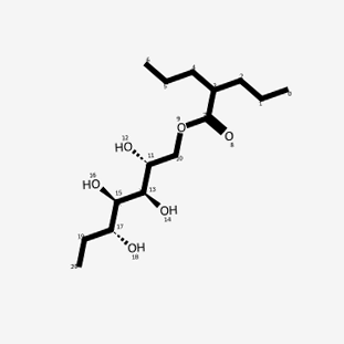 CCCC(CCC)C(=O)OC[C@@H](O)[C@@H](O)[C@H](O)[C@H](O)CC